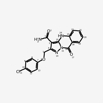 NC(=O)c1c(COc2ccc(Cl)cc2)nn2c(=O)c3ccccc3[nH]c12